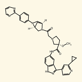 CO[C@@]1(C(=O)Nc2ccc3[nH]nc(-c4ccnc(C5CC5)c4)c3c2)CCN(CC(=O)N2C[C@@H]3C[C@H]2CN3c2ccc(-c3ncccn3)cc2)C1